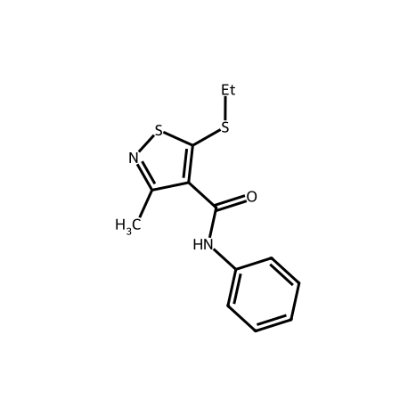 CCSc1snc(C)c1C(=O)Nc1ccccc1